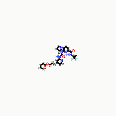 O=C(NC1CC1(F)F)C1C=CC2=C(N1)N(C(=O)Nc1cc(OCCOC3CCCCO3)ccn1)[C@H]1CCN2C1